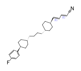 N#C/C=C/C=C/[C@H]1CC[C@H](CCCC[C@H]2CC[C@H](c3ccc(F)cc3)CC2)CC1